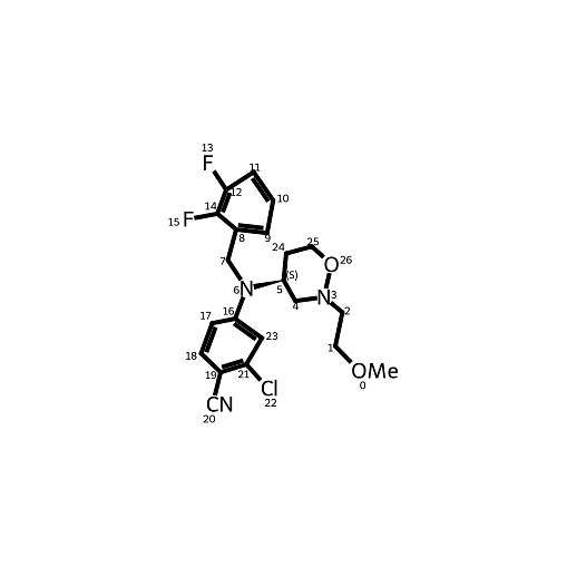 COCCN1C[C@@H](N(Cc2cccc(F)c2F)c2ccc(C#N)c(Cl)c2)CCO1